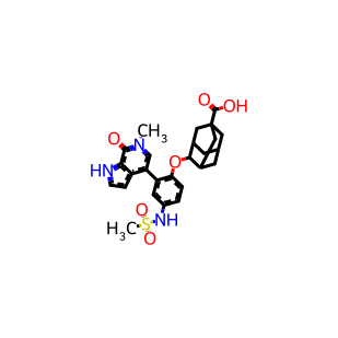 Cn1cc(-c2cc(NS(C)(=O)=O)ccc2OC2C3CC4CC2CC(C(=O)O)(C4)C3)c2cc[nH]c2c1=O